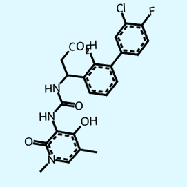 Cc1cn(C)c(=O)c(NC(=O)NC(CC(=O)O)c2cccc(-c3ccc(F)c(Cl)c3)c2F)c1O